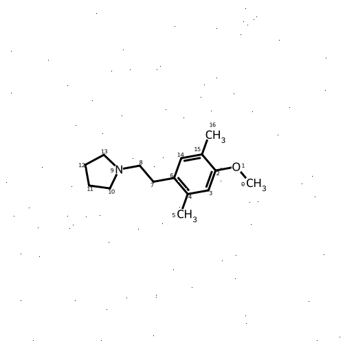 COc1cc(C)c(CCN2CCCC2)cc1C